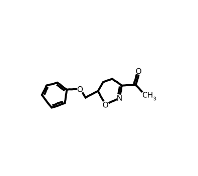 CC(=O)C1=NOC(COc2ccccc2)CC1